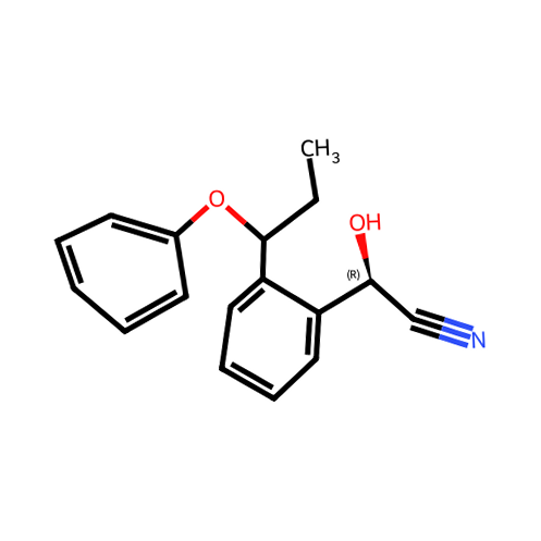 CCC(Oc1ccccc1)c1ccccc1[C@@H](O)C#N